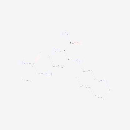 CC[C@@H](Nc1cnc(C(N)=O)c(Nc2ccc3cccnc3c2)c1)C(N)=O